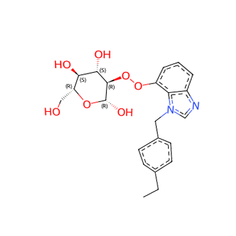 CCc1ccc(Cn2cnc3cccc(OO[C@@H]4[C@@H](O)[C@H](O)[C@@H](CO)O[C@H]4O)c32)cc1